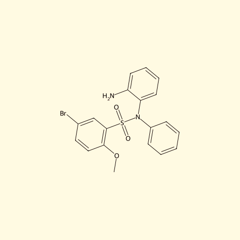 COc1ccc(Br)cc1S(=O)(=O)N(c1ccccc1)c1ccccc1N